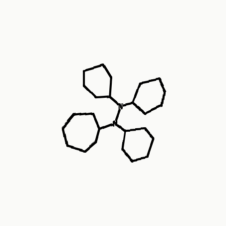 C1CCCC(N(C2CCCCC2)N(C2CCCCC2)C2CCCCC2)CC1